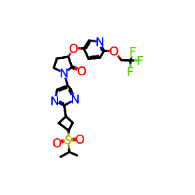 CC(C)S(=O)(=O)C1CC(c2ncc(N3CC[C@@H](Oc4ccc(OCC(F)(F)F)nc4)C3=O)cn2)C1